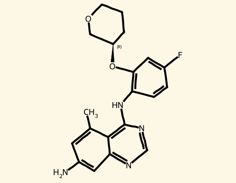 Cc1cc(N)cc2ncnc(Nc3ccc(F)cc3O[C@@H]3CCCOC3)c12